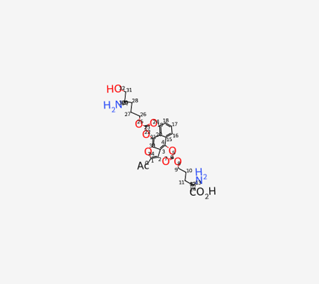 CC(=O)c1cc2c(OC(=O)OCCC[C@H](N)C(=O)O)c3ccccc3c(OC(=O)OCCC[C@H](N)CO)c2o1